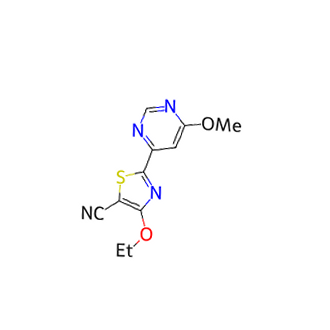 CCOc1nc(-c2cc(OC)ncn2)sc1C#N